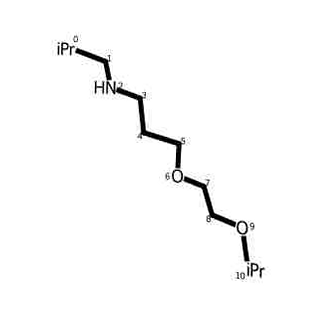 CC(C)CNCCCOCCOC(C)C